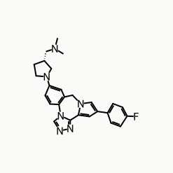 CN(C)C[C@H]1CCN(c2ccc3c(c2)Cn2cc(-c4ccc(F)cc4)cc2-c2nncn2-3)C1